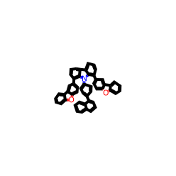 c1ccc2c(-c3ccc(-n4c5c(-c6ccc7oc8ccccc8c7c6)cccc5c5cccc(-c6ccc7oc8ccccc8c7c6)c54)cc3)cccc2c1